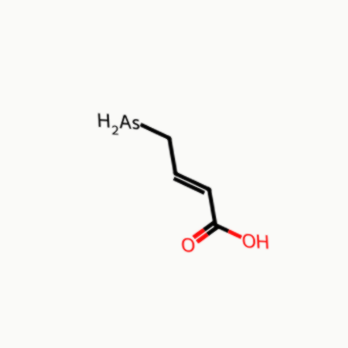 O=C(O)C=CC[AsH2]